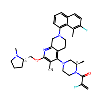 C=C(F)C(=O)N1CCN(c2c(C#N)c(OC[C@@H]3CCCN3C)nc3c2CCN(c2cccc4ccc(F)c(C)c24)C3)C[C@H]1C